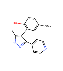 COc1ccc(O)c(-c2c(-c3ccncc3)n[nH]c2C)c1